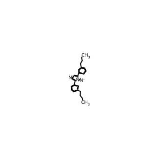 CCCCc1cccc(C2=CC=C(c3cccc(CCCC)c3)[N+]2=[N-])c1.[Ni]